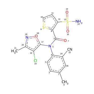 Cc1ccc(N(C(=O)c2sccc2S(N)(=O)=O)c2onc(C)c2Cl)c(C#N)c1